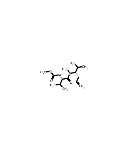 C=CC[C@@H](C(C)C)N(C)C(=O)[C@@H](NC(=O)OC)C(C)C